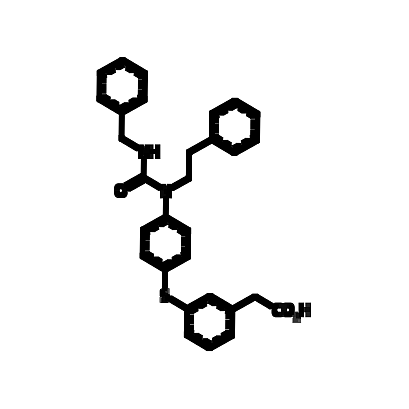 O=C(O)Cc1cccc(Sc2ccc(N(CCc3ccccc3)C(=O)NCc3ccccc3)cc2)c1